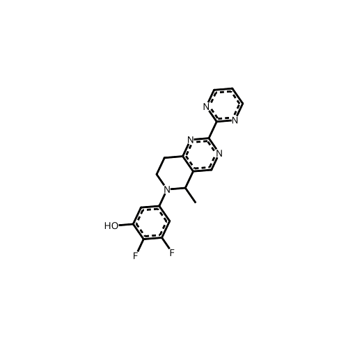 CC1c2cnc(-c3ncccn3)nc2CCN1c1cc(O)c(F)c(F)c1